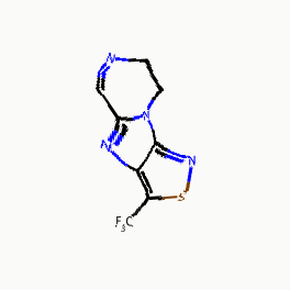 FC(F)(F)c1snc2c1nc1n2CCN=C1